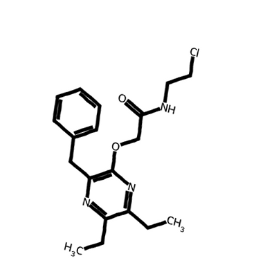 CCc1nc(Cc2ccccc2)c(OCC(=O)NCCCl)nc1CC